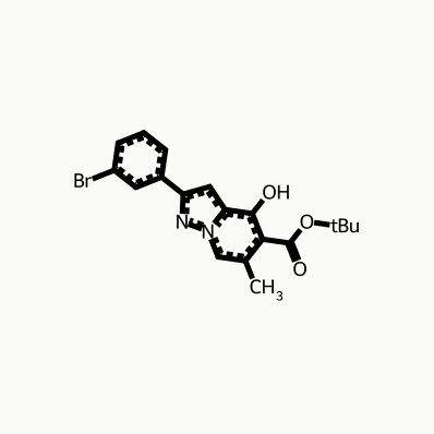 Cc1cn2nc(-c3cccc(Br)c3)cc2c(O)c1C(=O)OC(C)(C)C